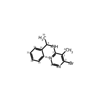 Cc1c(Br)ncnc1NC(C)c1ccccc1